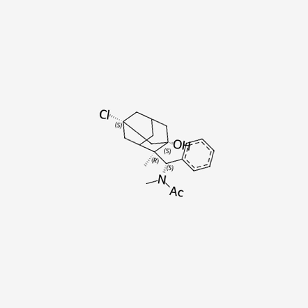 CC(=O)N(C)[C@@H](c1ccccc1)[C@@]1(C)C2CC3C[C@](Cl)(C2)C[C@@]1(O)C3